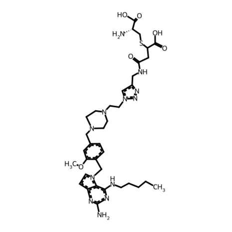 CCCCCNc1nc(N)nc2ccn(Cc3ccc(CN4CCN(CCn5cc(CNC(=O)CC(SC[C@H](N)C(=O)O)C(=O)O)nn5)CC4)cc3OC)c12